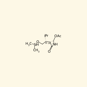 CC(=O)OC1NC(=O)[C@@H]1[C@H](CO[SiH](C)C)C(C)C